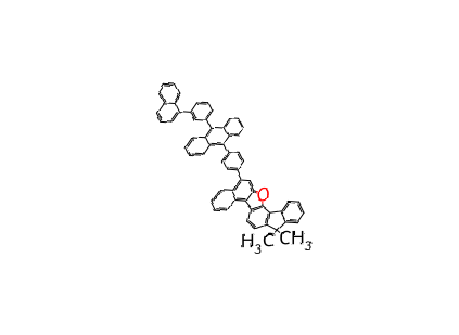 CC1(C)c2ccccc2-c2c1ccc1c2oc2cc(-c3ccc(-c4c5ccccc5c(-c5cccc(-c6cccc7ccccc67)c5)c5ccccc45)cc3)c3ccccc3c21